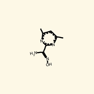 Cc1cc(C)nc(C(N)=NO)n1